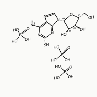 Nc1nc(S)nc2c1ncn2[C@@H]1O[C@H](CO)[C@@H](O)[C@H]1O.O=P(O)(O)O.O=P(O)(O)O.O=P(O)(O)O